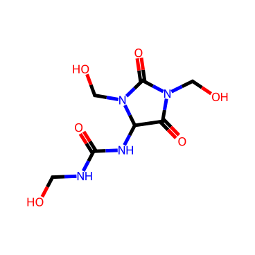 O=C(NCO)NC1C(=O)N(CO)C(=O)N1CO